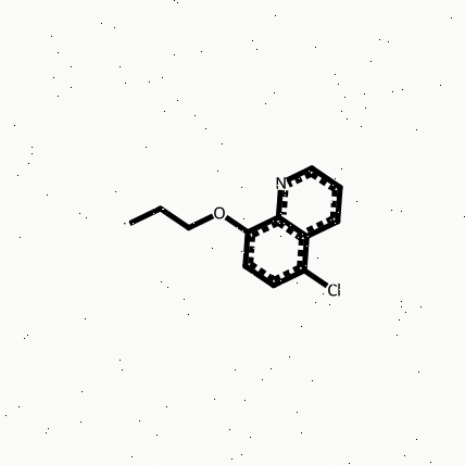 [CH2]CCOc1ccc(Cl)c2cccnc12